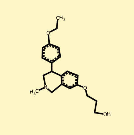 CCOc1ccc(C2CN(C)Cc3cc(OCCCO)ccc32)cc1